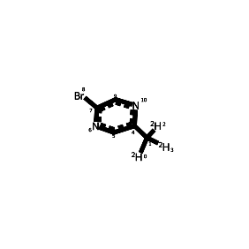 [2H]C([2H])([2H])c1cnc(Br)cn1